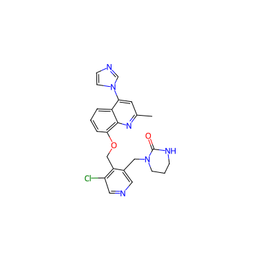 Cc1cc(-n2ccnc2)c2cccc(OCc3c(Cl)cncc3CN3CCCNC3=O)c2n1